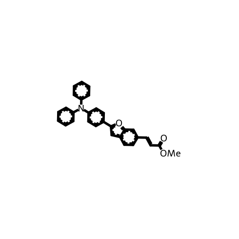 COC(=O)/C=C/c1ccc2cc(-c3ccc(N(c4ccccc4)c4ccccc4)cc3)oc2c1